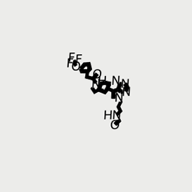 Nc1ncnc2c1c(-c1ccc3c(c1)CCN3C(=O)Cc1cccc(OC(F)(F)F)c1)cn2CCCNC=O